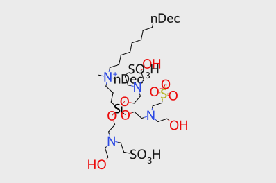 CCCCCCCCCCCCCCCCCC[N+](C)(CCCCCCCCCC)CCC[Si](OCCN(CCO)CCS(=O)(=O)[O-])(OCCN(CCO)CCS(=O)(=O)O)OCCN(CCO)CCS(=O)(=O)O